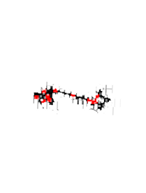 C=C(O)CN1CCN(CC(=O)O)CCN(C(CCC(=O)NCCOCCOCCOCCOCCC(=O)N2CCN(c3ncc(-c4cc(C)cc(F)c4)c(N4CCC(N)CC4)c3-c3nc4cc(Cl)ccc4[nH]3)CC2)C(=O)O)CCN(CC(=O)O)CC1